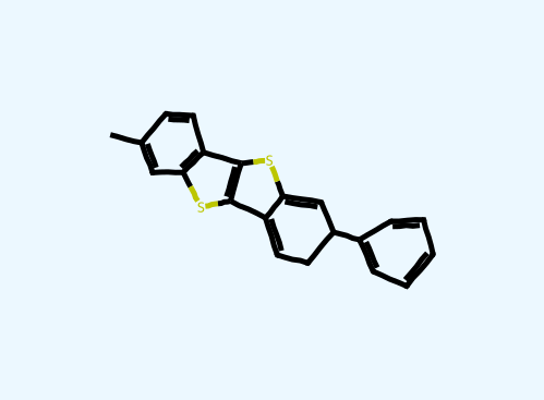 Cc1ccc2c(c1)sc1c3c(sc12)=CC(c1ccccc1)CC=3